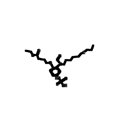 CCCCCCCCCCN(C=O)c1ccccc1OCCCC(=O)OCC.O=S(O)(O)=S